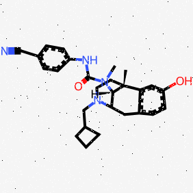 CN(C(=O)Nc1ccc(C#N)cc1)[C@H]1C2Cc3ccc(O)cc3[C@@]1(C)CCN2CC1CCC1